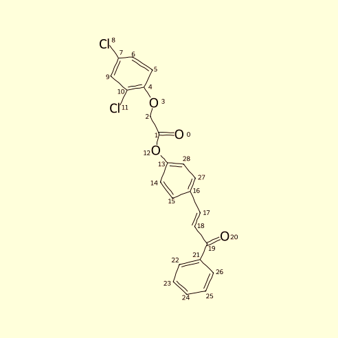 O=C(COc1ccc(Cl)cc1Cl)Oc1ccc(/C=C/C(=O)c2ccccc2)cc1